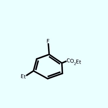 CCOC(=O)c1ccc(CC)cc1F